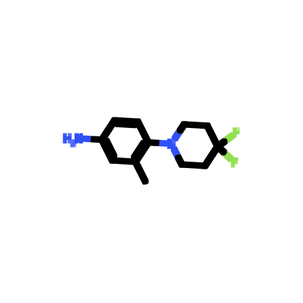 Cc1cc(N)ccc1N1CCC(F)(F)CC1